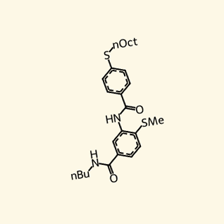 CCCCCCCCSc1ccc(C(=O)Nc2cc(C(=O)NCCCC)ccc2SC)cc1